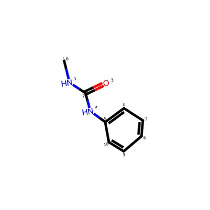 [CH2]NC(=O)Nc1ccccc1